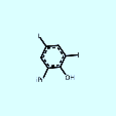 CC(C)c1cc(I)cc(I)c1O